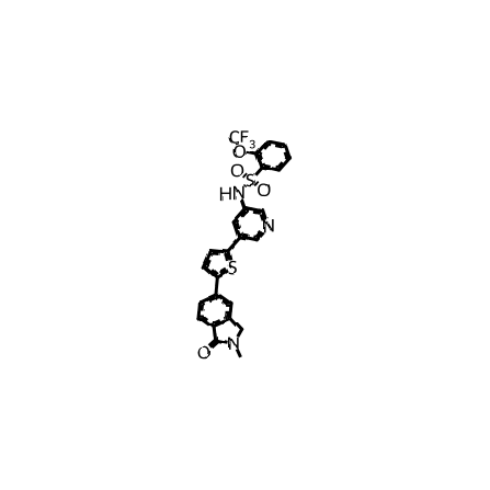 CN1Cc2cc(-c3ccc(-c4cncc(NS(=O)(=O)c5ccccc5OC(F)(F)F)c4)s3)ccc2C1=O